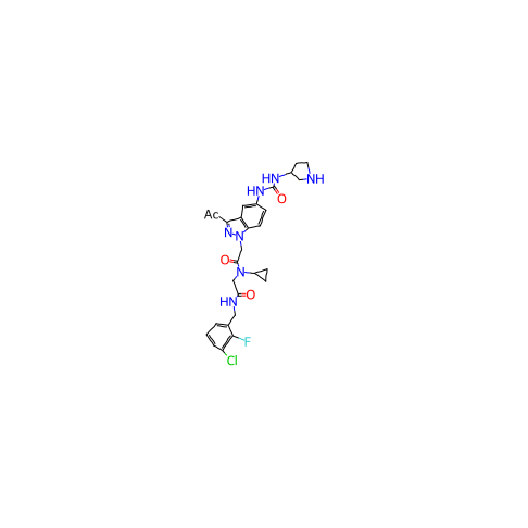 CC(=O)c1nn(CC(=O)N(CC(=O)NCc2cccc(Cl)c2F)C2CC2)c2ccc(NC(=O)NC3CCNC3)cc12